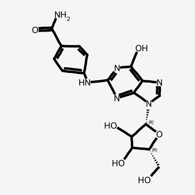 NC(=O)c1ccc(Nc2nc(O)c3ncn([C@@H]4O[C@H](CO)C(O)C4O)c3n2)cc1